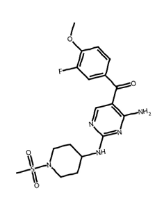 COc1ccc(C(=O)c2cnc(NC3CCN(S(C)(=O)=O)CC3)nc2N)cc1F